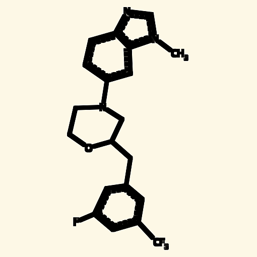 Cn1cnc2ccc(N3CCOC(Cc4cc(F)cc(C(F)(F)F)c4)C3)cc21